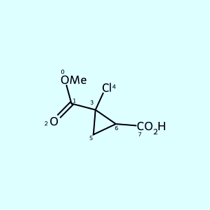 COC(=O)C1(Cl)CC1C(=O)O